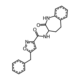 O=C(NC1CCc2ccccc2NC1=O)c1cc(Cc2ccccc2)on1